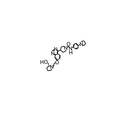 O=C(Nc1ccc(N2CCCC2)cc1)N1CCC(c2ncnc3cc(OCCN4CCC[C@H]4CO)ccc23)CC1